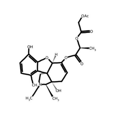 CC(=O)OCC(=O)O[C@@H](C)C(=O)OC1=CC[C@@]2(O)[C@@H](C)N(C)CC[C@@]23c2c(C)ccc(O)c2O[C@@H]13